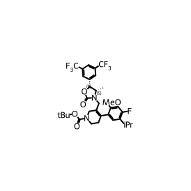 COc1cc(F)c(C(C)C)cc1C1=C(CN2C(=O)O[C@H](c3cc(C(F)(F)F)cc(C(F)(F)F)c3)[C@@H]2C)CN(C(=O)OC(C)(C)C)CC1